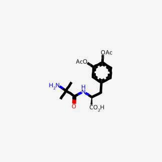 CC(=O)Oc1ccc(C[C@H](NC(=O)C(C)(C)N)C(=O)O)cc1OC(C)=O